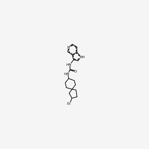 CCC1CCC2(CCC(NC(=O)Nc3c[nH]c4ccncc34)CC2)C1